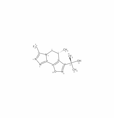 C[C@H]1Cn2c(nnc2C(F)(F)F)-c2onc([C@@](C)(O)C(F)(F)F)c21